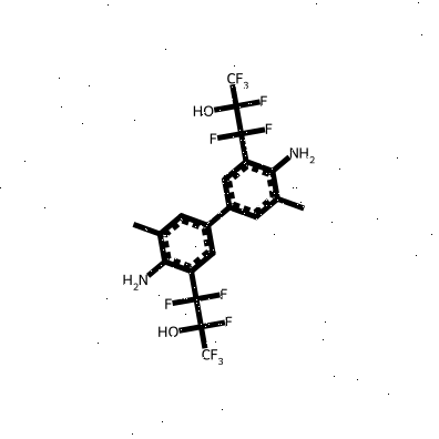 Cc1cc(-c2cc(C)c(N)c(C(F)(F)C(O)(F)C(F)(F)F)c2)cc(C(F)(F)C(O)(F)C(F)(F)F)c1N